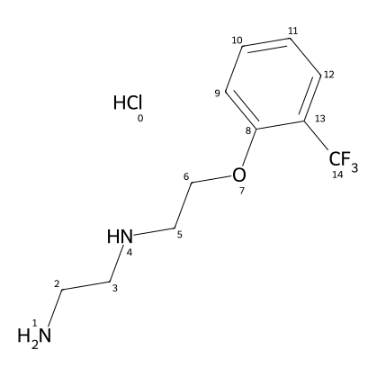 Cl.NCCNCCOc1ccccc1C(F)(F)F